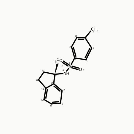 Cc1ccc(S(=O)(=O)N[C@@]2(O)CCc3ccccc32)cc1